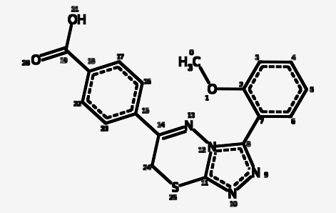 COc1ccccc1-c1nnc2n1N=C(c1ccc(C(=O)O)cc1)CS2